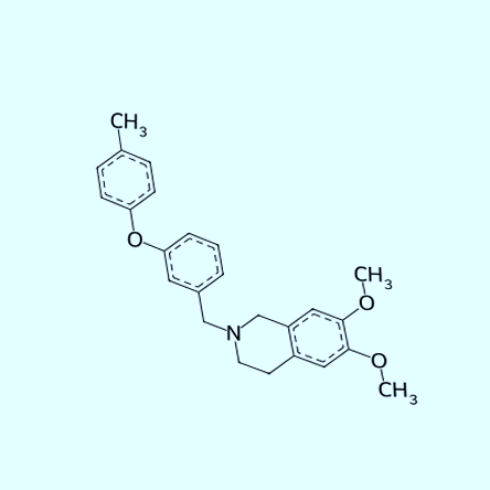 COc1cc2c(cc1OC)CN(Cc1cccc(Oc3ccc(C)cc3)c1)CC2